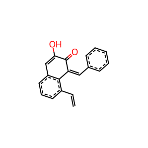 C=Cc1cccc2c1/C(=C/c1ccccc1)C(=O)C(O)=C2